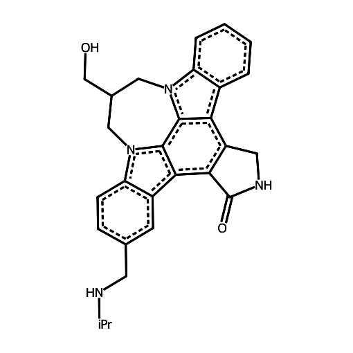 CC(C)NCc1ccc2c(c1)c1c3c(c4c5ccccc5n5c4c1n2CC(CO)C5)CNC3=O